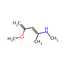 C=C(/C=C(\C)NC)OC